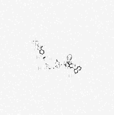 C#Cc1c(F)ccc2cc(O)cc(-c3ncc4c(N5CC6CCC(C5)N6)nc(OC[C@@]56CC[C@@H](COC(=O)N(C)CCOCC(=O)Nc7ccc8c(c7)C(=O)N(C7CCC(=O)NC7=O)C8=O)N5CC(=C)C6)nc4c3F)c12